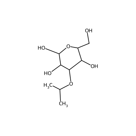 CC(C)OC1C(O)C(O)OC(CO)C1O